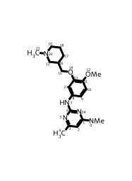 CNc1cc(C)nc(Nc2ccc(OC)c(OCC3CCCN(C)C3)c2)n1